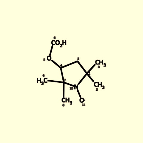 CC1(C)CC(OC(=O)O)C(C)(C)N1[O]